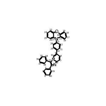 c1ccc(-c2nc3ccc(-c4ccc(N5c6ccccc6Oc6ccccc65)cc4)cn3c2-c2ccccc2)cc1